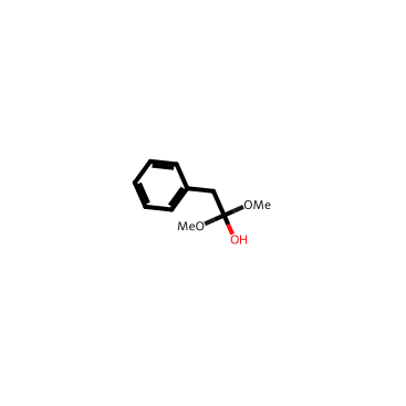 COC(O)(Cc1ccccc1)OC